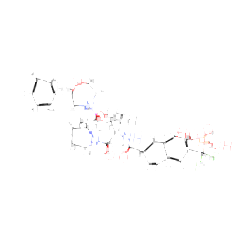 CC(C)(C)[C@H](NC(=O)c1ccc2cc(C(F)(F)P(=O)(O)O)ccc2c1)C(=O)N1CCC[C@H]1C(=O)N1CCO[C@@H](c2ccccc2)C1